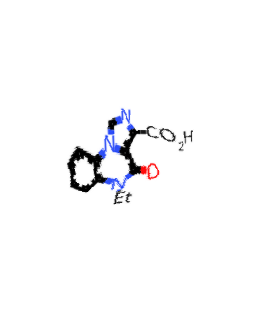 CCn1c(=O)c2c(C(=O)O)ncn2c2ccccc21